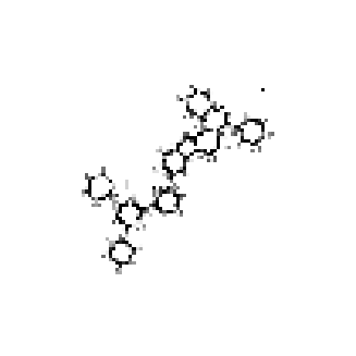 C1=CCNC(c2cc(-c3ccccc3)cc(-c3cccc(-c4ccc5sc6c(ccc7c(-c8ccccc8)nc8ccccc8c76)c5c4)n3)n2)=C1